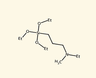 CCO[Si](CCCN(C)CC)(OCC)OCC